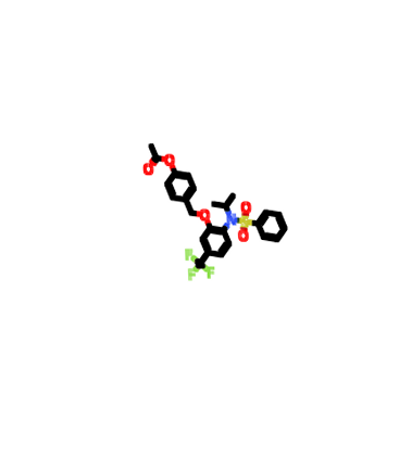 CC(=O)Oc1ccc(COc2cc(C(F)(F)F)ccc2N(C(C)C)S(=O)(=O)c2ccccc2)cc1